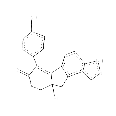 CCC12CCC(=O)C(c3ccc(O)cc3)=C1c1ccc3[nH]ncc3c1C2